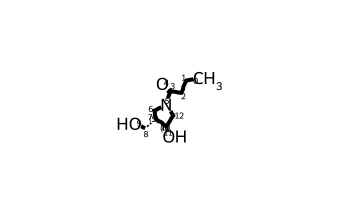 CCCC(=O)N1C[C@@H](CO)[C@@H](O)C1